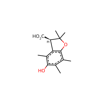 Cc1c(C)c2c(c(C)c1O)[C@@H](C(=O)O)C(C)(C)O2